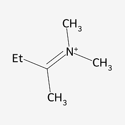 CCC(C)=[N+](C)C